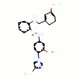 COC1=CCCC(CNc2ccccc2S(=O)(=O)Nc2ccc(-n3cnc(C)c3)c(OC)c2)=C1